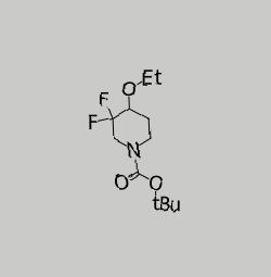 CCOC1CCN(C(=O)OC(C)(C)C)CC1(F)F